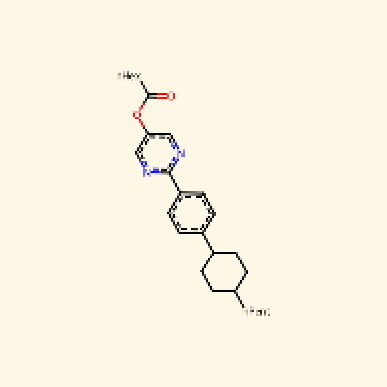 CCCCCCC(=O)Oc1cnc(-c2ccc(C3CCC(CCCCC)CC3)cc2)nc1